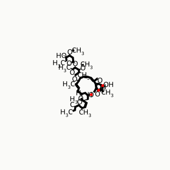 CC[C@H](C)[C@H]1O[C@]2(C=C[C@@H]1C)C[C@@H]1C[C@@H](C/C=C(\C)[C@@H](O[C@H]3C[C@H](OC)[C@@H](O[C@H]4C[C@H](OC)[C@@H](O)[C@H](C)O4)[C@H](C)O3)[C@@H](C)C=CC=C3CO[C@@H]4[C@H](O)C(C)=C[C@@H](C(=O)O1)[C@]34O)O2